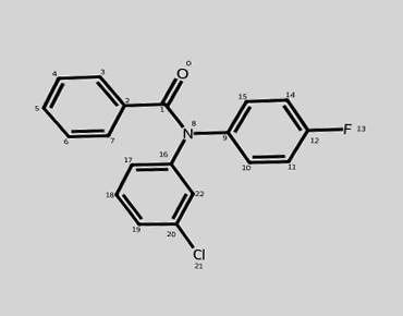 O=C(c1ccccc1)N(c1ccc(F)cc1)c1cccc(Cl)c1